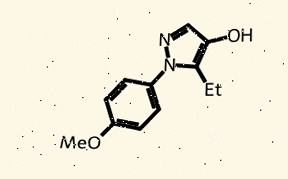 CCc1c(O)cnn1-c1ccc(OC)cc1